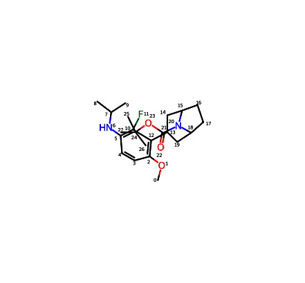 COc1ccc(NC(C)C)c(F)c1C1CC2CCC(C1)N2C(=O)OC(C)(C)C